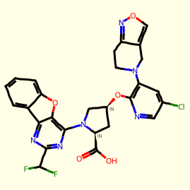 O=C(O)[C@@H]1C[C@H](Oc2ncc(Cl)cc2N2CCc3nocc3C2)CN1c1nc(C(F)F)nc2c1oc1ccccc12